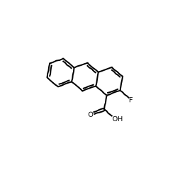 O=C(O)c1c(F)ccc2cc3ccccc3cc12